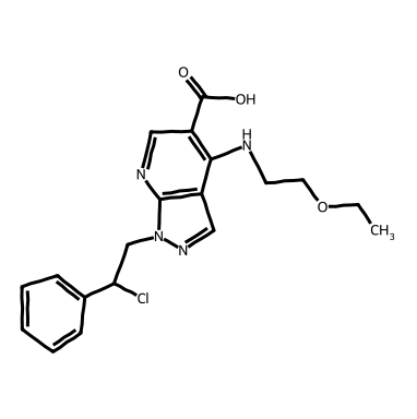 CCOCCNc1c(C(=O)O)cnc2c1cnn2CC(Cl)c1ccccc1